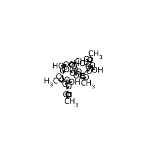 C[C@H]1CC[C@@H](COP(=O)(O)O[C@@H]2C[C@H](C)O[C@@H]2COP(=O)(O)O[C@@H]2C[C@H](C)O[C@@H]2COP(=O)(O)O[C@@H]2C[C@H](C)O[C@@H]2COP(=O)(O)O[C@@H]2C[C@H](C)O[C@@H]2CO)O1